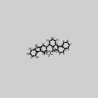 Cn1c2ccc3ccccc3c2c2cccc(-c3ccc4c(c3)sc3ccccc34)c21